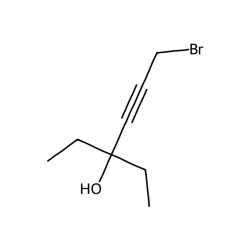 CCC(O)(C#CCBr)CC